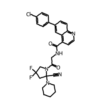 N#CC1(N2CCCCC2)CC(F)(F)CN1C(=O)CNC(=O)c1ccnc2ccc(-c3ccc(Cl)cc3)cc12